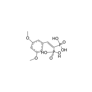 COc1cc(C=C(P(=O)(O)O)P(=O)(O)O)cc(OC)c1